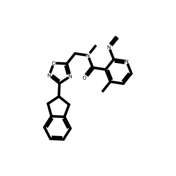 C=Nc1nccc(C)c1C(=O)N(C)Cc1nc(C2Cc3ccccc3C2)no1